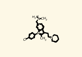 Cc1c(CCN2CCCCC2)c2ccc(CN(C)C)cc2n1-c1ccc(Cl)cc1